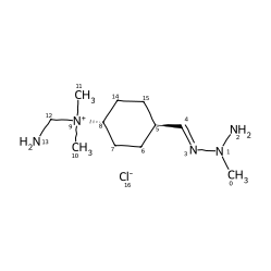 CN(N)N=C[C@H]1CC[C@H]([N+](C)(C)CN)CC1.[Cl-]